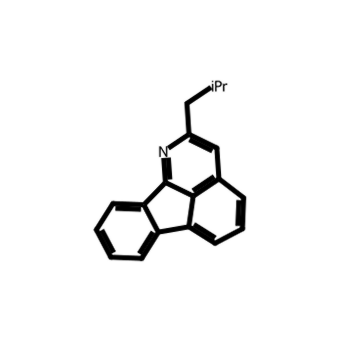 CC(C)Cc1cc2cccc3c2c(n1)-c1ccccc1-3